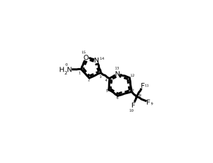 Nc1cc(-c2ccc(C(F)(F)F)cn2)no1